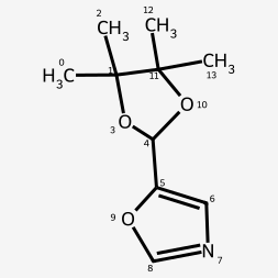 CC1(C)OC(c2cnco2)OC1(C)C